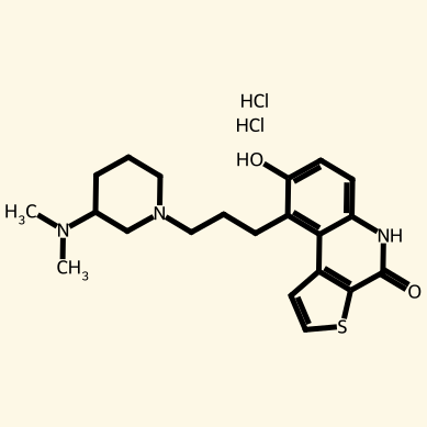 CN(C)C1CCCN(CCCc2c(O)ccc3[nH]c(=O)c4sccc4c23)C1.Cl.Cl